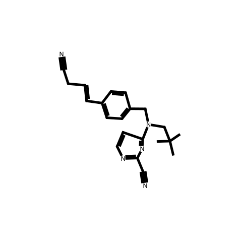 CC(C)(C)CN(Cc1ccc(/C=C/CC#N)cc1)c1ccnc(C#N)n1